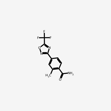 Cc1cc(-c2noc(C(F)(F)F)n2)ccc1C(N)=O